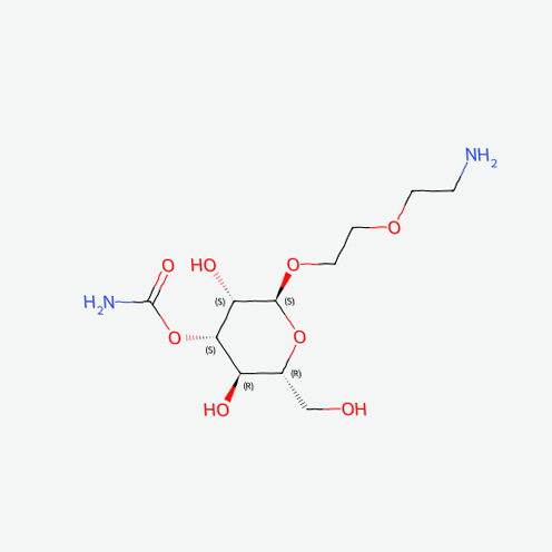 NCCOCCO[C@H]1O[C@H](CO)[C@@H](O)[C@H](OC(N)=O)[C@@H]1O